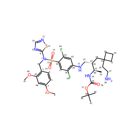 COc1ccc(CN(c2ncns2)S(=O)(=O)c2cc(F)c(NC[C@H](CC3(CCN)CCC3)[C@@H](C)NC(=O)OC(C)(C)C)cc2F)c(OC)c1